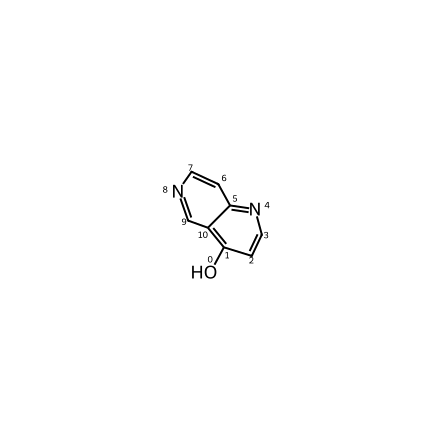 Oc1ccnc2ccncc12